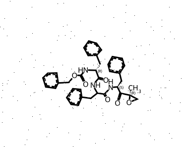 C[C@]1(C(=O)[C@H](Cc2ccccc2)NC(=O)C(Cc2ccccc2)NC(=O)[C@@H](Cc2ccccc2)NC(=O)OCc2ccccc2)CO1